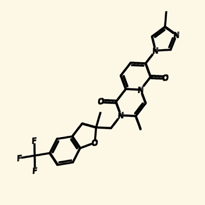 Cc1cn(-c2ccc3c(=O)n(CC4(C)Cc5cc(C(F)(F)F)ccc5O4)c(C)cn3c2=O)cn1